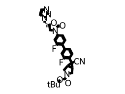 CC(C)(C)OC(=O)N1CC2C(C1)C2(C#N)c1ccc(-c2ccc(N3C[C@H](Cn4ccnn4)OC3=O)cc2F)cc1F